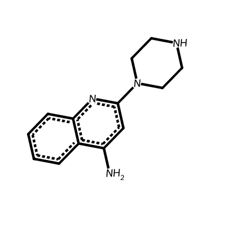 Nc1cc(N2CCNCC2)nc2ccccc12